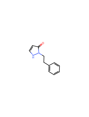 O=c1cc[nH]n1CCc1ccccc1